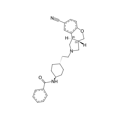 N#Cc1ccc2c(c1)[C@@H]1CN(CC[C@H]3CC[C@H](NC(=O)c4ccccc4)CC3)C[C@H]1CO2